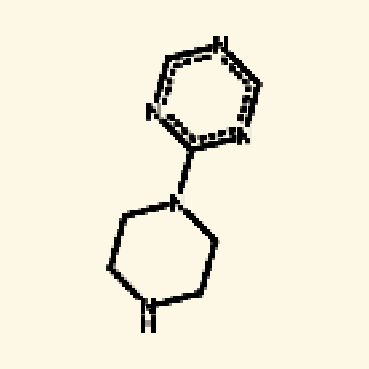 c1ncnc(N2CCNCC2)n1